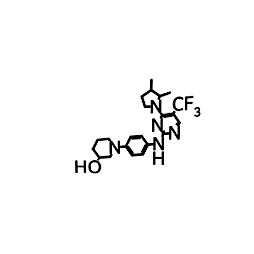 CC1CCN(c2nc(Nc3ccc(N4CCC[C@H](O)C4)cc3)ncc2C(F)(F)F)C1C